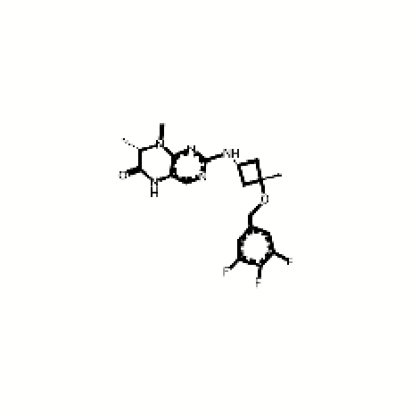 C[C@H]1C(=O)Nc2cnc(N[C@H]3C[C@@](C)(OCc4cc(F)c(F)c(F)c4)C3)nc2N1C